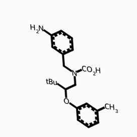 Cc1cccc(OC(CN(Cc2cccc(N)c2)C(=O)O)C(C)(C)C)c1